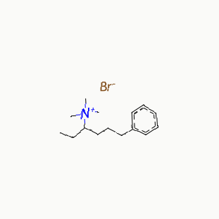 CCC(CCCc1ccccc1)[N+](C)(C)C.[Br-]